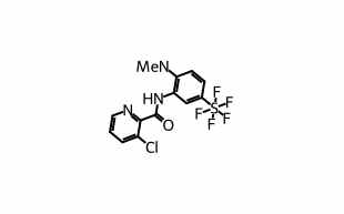 CNc1ccc(S(F)(F)(F)(F)F)cc1NC(=O)c1ncccc1Cl